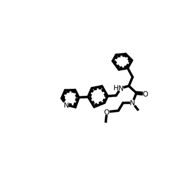 COCCN(C)C(=O)C(Cc1ccccc1)NCc1ccc(-c2cccnc2)cc1